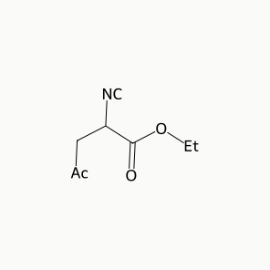 [C-]#[N+]C(CC(C)=O)C(=O)OCC